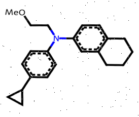 COCCN(c1ccc(C2CC2)cc1)c1ccc2c(c1)CCCC2